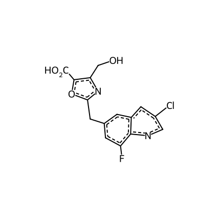 O=C(O)c1oc(Cc2cc(F)c3ncc(Cl)cc3c2)nc1CO